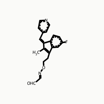 CC1=C(CCON=CC=O)c2cc(F)ccc2C1=Cc1ccncc1